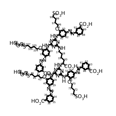 O=C(O)c1cccc(N=Nc2ccc(Nc3nc(NCCCCC(Nc4nc(Nc5ccc(N=Nc6cccc(C(=O)O)c6)cc5OCCCCSOOO)nc(Nc5ccc(N=Nc6cccc(C(=O)O)c6)cc5OCCCCS(=O)(=O)O)n4)C(=O)O)nc(Nc4ccc(N=Nc5cccc(C(=O)O)c5)cc4OCCCCS(=O)(=O)O)n3)c(OCCCCSOOO)c2)c1